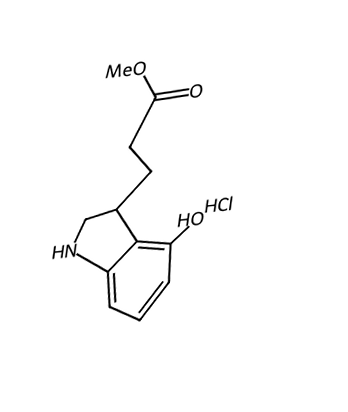 COC(=O)CCC1CNc2cccc(O)c21.Cl